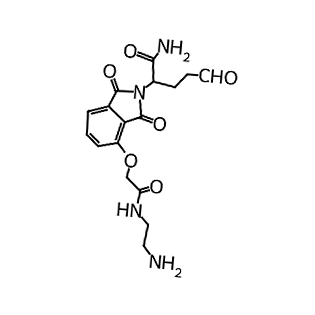 NCCNC(=O)COc1cccc2c1C(=O)N(C(CCC=O)C(N)=O)C2=O